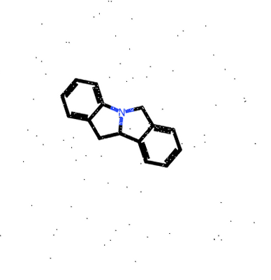 c1ccc2c(c1)CN1c3ccccc3CC21